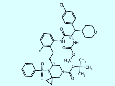 COC(=O)N[C@H](C(=O)Nc1cccc(F)c1CC[C@H]1CN(C(=O)OC(C)(C)C)CC2(CC2)N1S(=O)(=O)c1ccccc1)C(c1ccc(Cl)cc1)C1CCOCC1